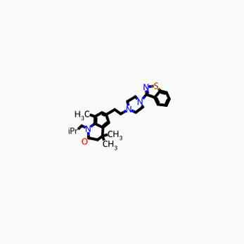 Cc1cc(CCN2CCN(c3nsc4ccccc34)CC2)cc2c1N(CC(C)C)C(=O)CC2(C)C